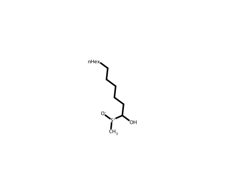 CCCCCCCCCCCC(O)[S+](C)[O-]